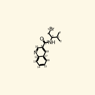 CC(C)C(CBr)NC(=O)c1cnc2ccccc2c1